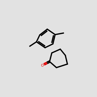 Cc1ccc(C)cc1.O=C1CCCCC1